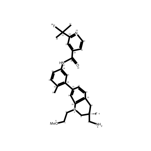 COCCN1C[C@](F)(CN)Cc2ccc(-c3cc(NC(=O)c4ccnc(C(C)(C)F)c4)ccc3C)cc21